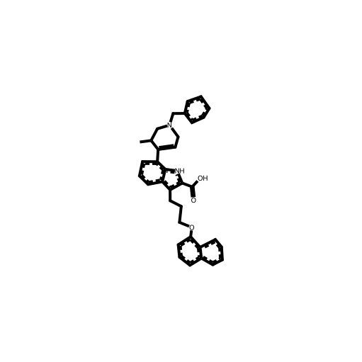 CC1CN(Cc2ccccc2)CC=C1c1cccc2c(CCCOc3cccc4ccccc34)c(C(=O)O)[nH]c12